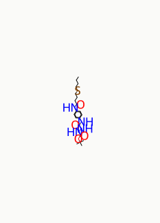 CCCCSCCCC(=O)Nc1ccc(NC(=O)NNC(=O)OC(C)(C)C)cc1